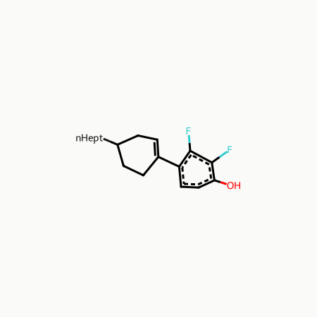 CCCCCCCC1CC=C(c2ccc(O)c(F)c2F)CC1